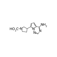 Nc1ncnn2c(C3CCN(C(=O)O)C3)ccc12